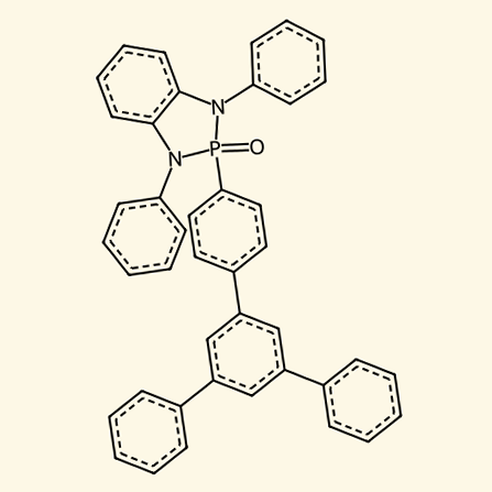 O=P1(c2ccc(-c3cc(-c4ccccc4)cc(-c4ccccc4)c3)cc2)N(c2ccccc2)c2ccccc2N1c1ccccc1